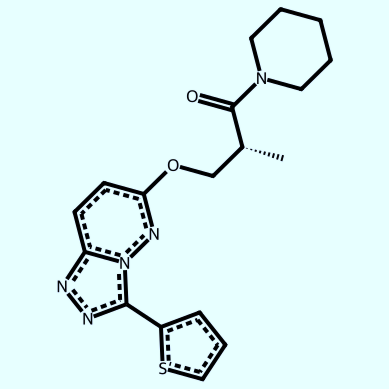 C[C@H](COc1ccc2nnc(-c3cccs3)n2n1)C(=O)N1CCCCC1